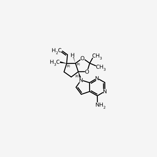 C=C[C@@]1(C)CC[C@@]2(n3ccc4c(N)ncnc43)OC(C)(C)O[C@H]12